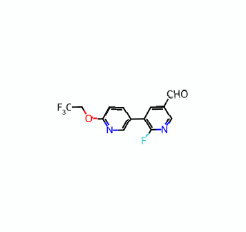 O=Cc1cnc(F)c(-c2ccc(OCC(F)(F)F)nc2)c1